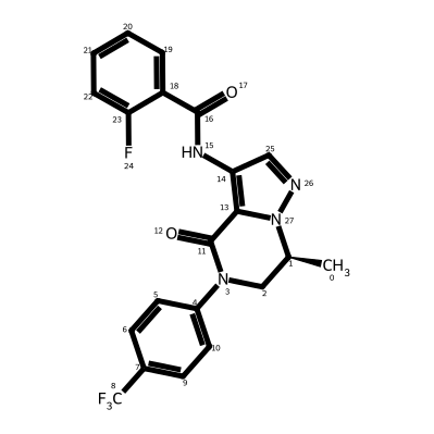 C[C@H]1CN(c2ccc(C(F)(F)F)cc2)C(=O)c2c(NC(=O)c3ccccc3F)cnn21